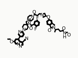 CCOc1cc(-c2ccc(N3CCC(CN4CCN(C(=O)CCN5CC(Oc6ccc7c(c6)CN(C(C)CCC(=O)NC=O)C7=O)C5)CC4)(NC(=O)c4cc(F)ccc4F)CC3)nc2)c2c(C#N)cnn2c1